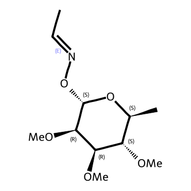 C/C=N/O[C@@H]1O[C@@H](C)[C@H](OC)[C@@H](OC)[C@H]1OC